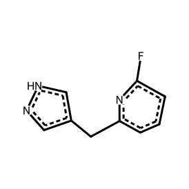 Fc1cccc(Cc2cn[nH]c2)n1